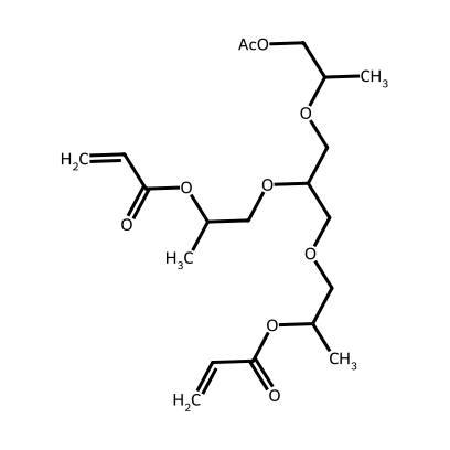 C=CC(=O)OC(C)COCC(COC(C)COC(C)=O)OCC(C)OC(=O)C=C